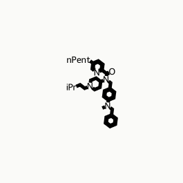 CCCCCc1ccc(C(=O)N(Cc2ccc(N(C)Cc3ccccc3)cc2)C2CCN(CCC(C)C)CC2)nc1